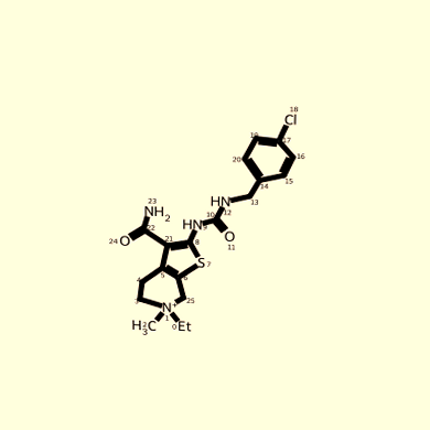 CC[N+]1(C)CCc2c(sc(NC(=O)NCc3ccc(Cl)cc3)c2C(N)=O)C1